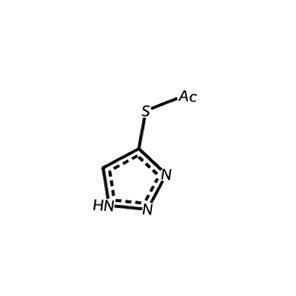 CC(=O)Sc1c[nH]nn1